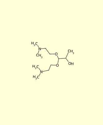 CC(O)C(OCCN(C)C)OCCN(C)C